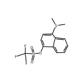 C[S+](C)c1ccc(OS(=O)(=O)C(F)(F)F)c2ccccc12